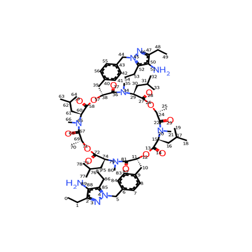 CCc1nn(Cc2ccc(C[C@H]3OC(=O)[C@H](CC(C)C)N(C)C(=O)[C@@H](C)OC(=O)[C@H](CC(C)C)N(C)C(=O)[C@@H](Cc4ccc(Cn5nc(CC)c(N)c5CC)cc4)OC(=O)[C@H](CC(C)C)N(C)C(=O)[C@@H](C)OC(=O)[C@H](CC(C)C)N(C)C3=O)cc2)c(CC)c1N